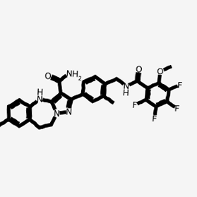 COc1c(F)c(F)c(F)c(F)c1C(=O)NCc1ccc(-c2nn3c(c2C(N)=O)Nc2ccc(I)cc2CC3)cc1C